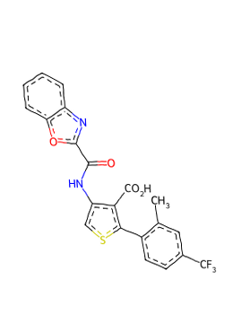 Cc1cc(C(F)(F)F)ccc1-c1scc(NC(=O)c2nc3ccccc3o2)c1C(=O)O